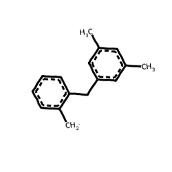 [CH2]c1ccccc1Cc1cc(C)cc(C)c1